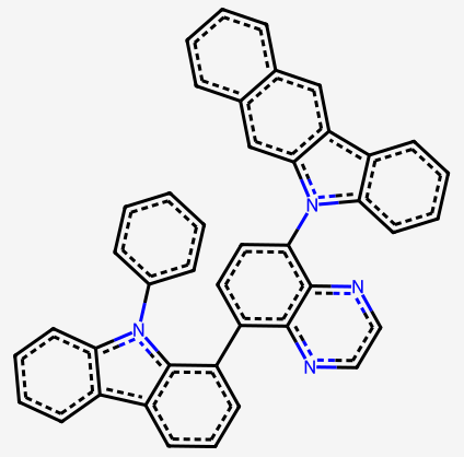 c1ccc(-n2c3ccccc3c3cccc(-c4ccc(-n5c6ccccc6c6cc7ccccc7cc65)c5nccnc45)c32)cc1